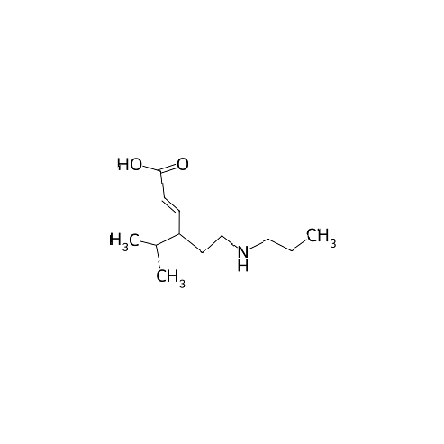 CCCNCCC(C=CC(=O)O)C(C)C